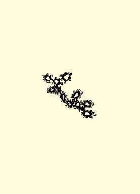 c1ccc(-c2cc(-c3ccccc3)cc(-c3nc(-c4ccc(-c5ccc6c7cc8nc(-c9ccccc9)c9ccccc9c8cc7n(-c7ccccc7)c6c5)cc4)nc4ccccc34)c2)cc1